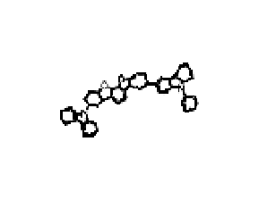 C1=CC2Oc3c(ccc4c3oc3ccc(-c5ccc6c(c5)c5ccccc5n6-c5ccccc5)cc34)C2C=C1n1c2ccccc2c2ccccc21